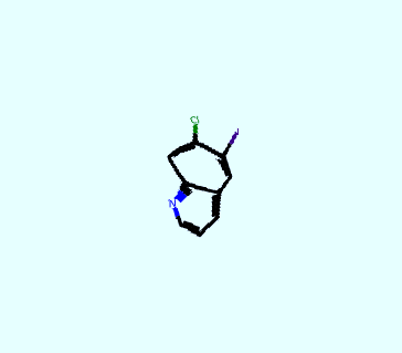 Clc1cc2ncccc2cc1I